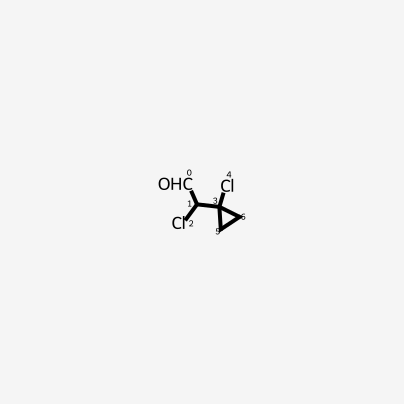 O=CC(Cl)C1(Cl)CC1